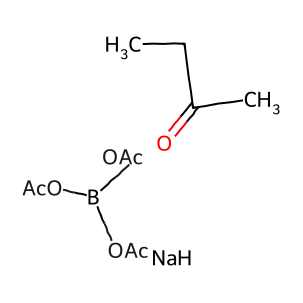 CC(=O)OB(OC(C)=O)OC(C)=O.CCC(C)=O.[NaH]